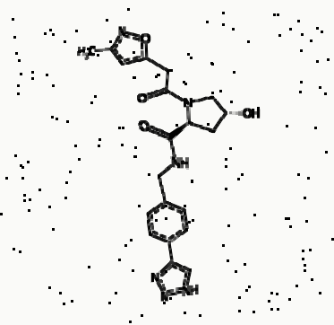 Cc1cc(CC(=O)N2C[C@H](O)C[C@H]2C(=O)NCc2ccc(-c3c[nH]nn3)cc2)on1